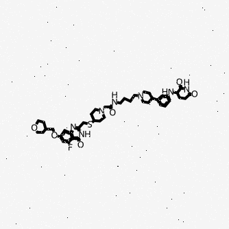 O=C(CN1CCC(SCc2nc3cc(OCC4CCOCC4)cc(F)c3c(=O)[nH]2)CC1)NCCCCN1CCC(c2cccc(NC3CCC(=O)NC3=O)c2)CC1